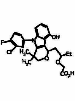 CC[C@H](C[C@H]1OCC(C)(C)c2c1c1c(O)cccc1n2-c1ccc(F)c(Cl)c1)OCC(=O)O